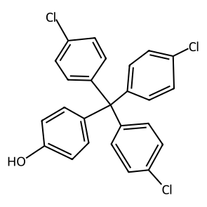 Oc1ccc(C(c2ccc(Cl)cc2)(c2ccc(Cl)cc2)c2ccc(Cl)cc2)cc1